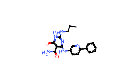 CCCNc1nc(Nc2ccc(-c3ccccc3)nc2)c(C(N)=O)c(=O)[nH]1